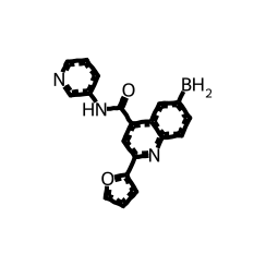 Bc1ccc2nc(-c3ccco3)cc(C(=O)Nc3cccnc3)c2c1